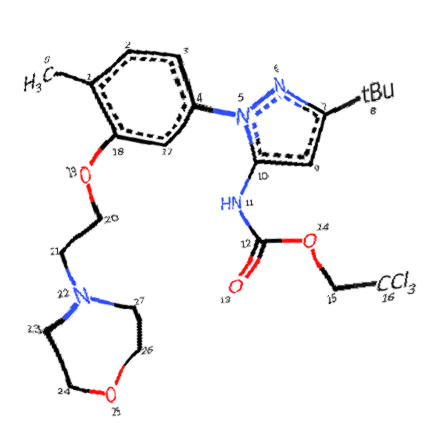 Cc1ccc(-n2nc(C(C)(C)C)cc2NC(=O)OCC(Cl)(Cl)Cl)cc1OCCN1CCOCC1